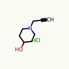 C#CCN1CCC(O)CC1.Cl